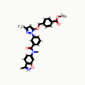 Cc1noc2cc(N(C)C(=O)c3cccc(-n4nc(C(F)(F)F)cc4OCc4ccc(C(=O)OC(C)(C)C)cc4)c3)ccc12